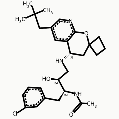 CC(=O)N[C@@H](Cc1cccc(Cl)c1)[C@@H](O)CN[C@H]1CC2(CCC2)Oc2ncc(CC(C)(C)C)cc21